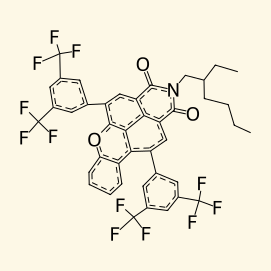 CCCCC(CC)Cn1c(=O)c2cc(-c3cc(C(F)(F)F)cc(C(F)(F)F)c3)c3oc4ccccc4c4c(-c5cc(C(F)(F)F)cc(C(F)(F)F)c5)cc(c1=O)c2c34